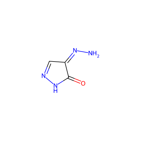 N/N=C1/C=NNC1=O